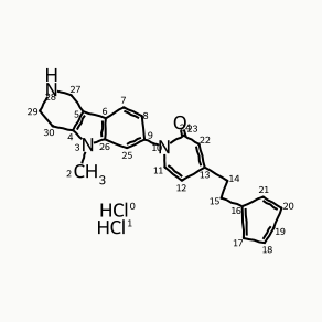 Cl.Cl.Cn1c2c(c3ccc(-n4ccc(CCc5ccccc5)cc4=O)cc31)CNCC2